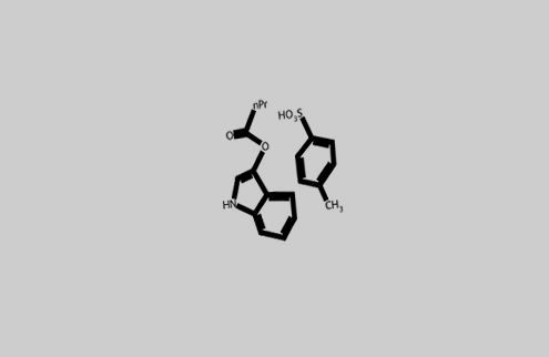 CCCC(=O)Oc1c[nH]c2ccccc12.Cc1ccc(S(=O)(=O)O)cc1